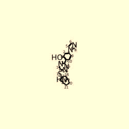 Oc1cc(-n2ccnc2)ccc1-c1ncc(SC2CC3CCC(C2)N3)nn1